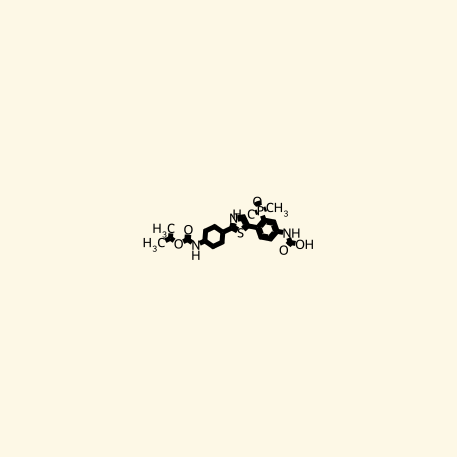 CC(C)OC(=O)NC1CCC(c2ncc(-c3ccc(NC(=O)O)cc3P(C)(C)=O)s2)CC1